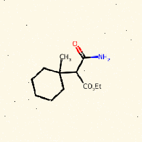 CCOC(=O)C(C(N)=O)C1(C)CCCCC1